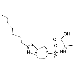 CCCCCCSc1nc2ccc(S(=O)(=O)N[C@H](C)C(=O)O)cc2s1